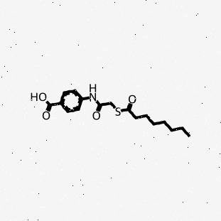 CCCCCCCC(=O)SCC(=O)Nc1ccc(C(=O)O)cc1